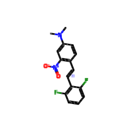 CN(C)c1ccc(/C=C/c2c(F)cccc2F)c([N+](=O)[O-])c1